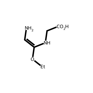 CCOC(=CN)NCC(=O)O